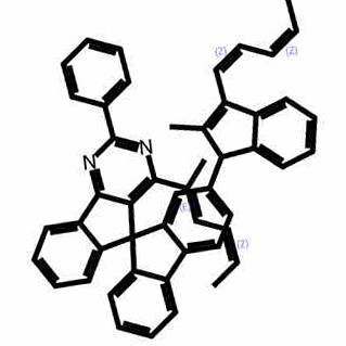 C/C=C\C=C/C1=C(C)C(c2ccc3c(c2)C2(c4ccccc4-3)c3ccccc3-c3nc(-c4ccccc4)nc(/C(C)=C/C=C\C)c32)c2ccccc21